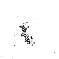 COc1cc2c(Oc3ccc4[nH]c(C)cc4c3F)ccnc2cc1OCC1(C(=O)N(C)C)CC1